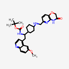 COc1ccc2nccc(CC(NC(=O)OC(C)(C)C)C3CCC(NCc4ccc5c(n4)NC(=O)CO5)CC3)c2c1